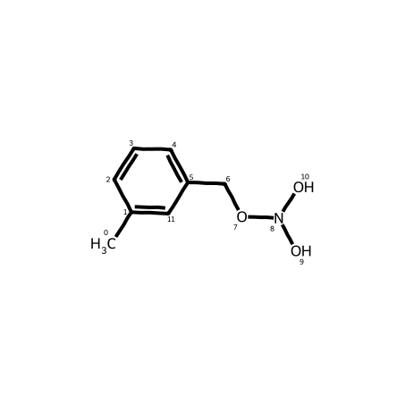 Cc1cccc(CON(O)O)c1